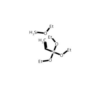 C=C[Si](OCC)(OCC)OCC.CCO[SiH3]